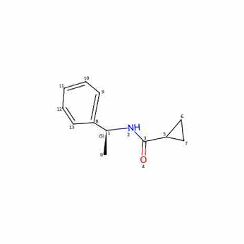 C[C@H](NC(=O)C1CC1)c1ccccc1